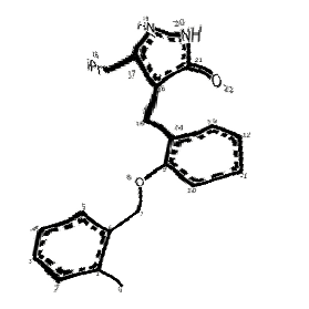 Cc1ccccc1COc1ccccc1Cc1c(C(C)C)[nH][nH]c1=O